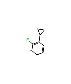 FC1=C(C2CC2)C=CC[CH]1